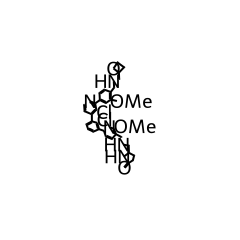 COc1cc(-c2nccc(-c3cccc(-c4ccc(CNCC5CCC(=O)N5)c(OC)n4)c3Cl)c2Cl)ccc1CNCC1CCO1